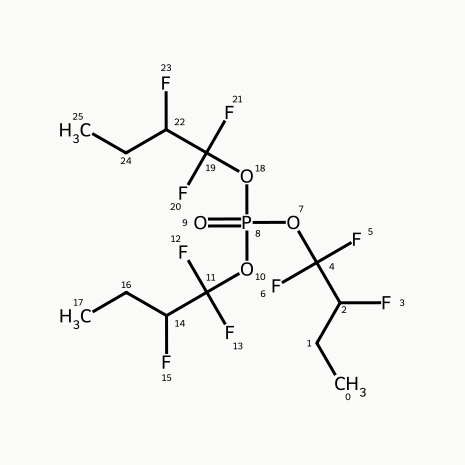 CCC(F)C(F)(F)OP(=O)(OC(F)(F)C(F)CC)OC(F)(F)C(F)CC